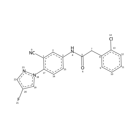 N#Cc1cc(NC(=O)Cc2ccccc2Cl)ccc1-n1cc(F)cn1